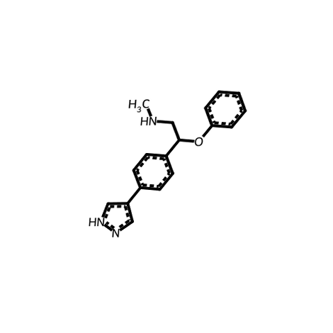 CNCC(Oc1ccccc1)c1ccc(-c2cn[nH]c2)cc1